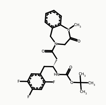 CN1C(=O)CN(C(=O)C[C@@H](Cc2cc(F)c(F)cc2F)NC(=O)OC(C)(C)C)Cc2ccccc21